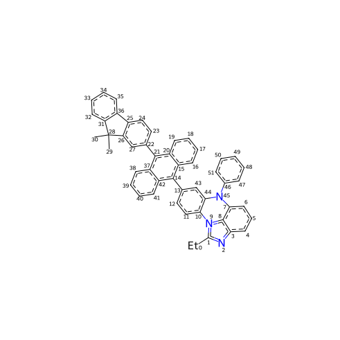 CCc1nc2cccc3c2n1-c1ccc(-c2c4ccccc4c(-c4ccc5c(c4)C(C)(C)c4ccccc4-5)c4ccccc24)cc1N3c1ccccc1